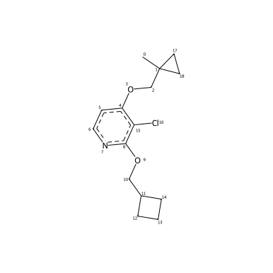 CC1(COc2ccnc(OCC3CCC3)c2Cl)CC1